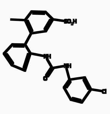 Cc1ccc(S(=O)(=O)O)cc1-c1ccccc1NC(=O)Nc1cccc(Cl)c1